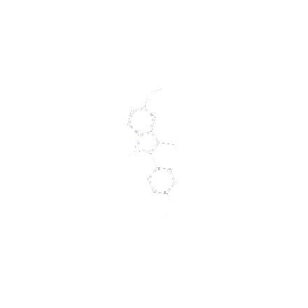 COc1ccc2c(c1)SCc1c-2n(C)c2ccc(OC)cc12